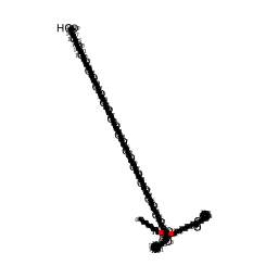 CCCCCCCCCCC[C@@](CC=CCCCCCCCC(=O)OCc1ccccc1)(C(=O)NCCOCCOCCOCCOCCOCCOCCOCCOCCOCCOCCOCCOCCOCCOCCOCCOCCOCCOCCOCCOCCOCCOCCOCCOCCC(=O)O)C(=O)OCc1ccccc1